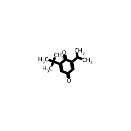 CC(C)C1=CC(=O)C=C(C(C)(C)C)C1=O